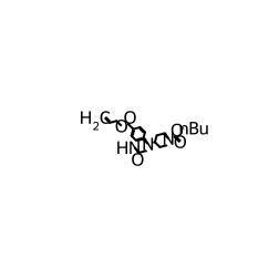 C=CCOC(=O)c1ccc2c(c1)NC(=O)CN2C1CCN(C(=O)OCCCC)CC1